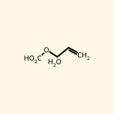 C=CCOC(=O)O.O